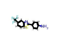 Nc1ccc(-c2nc3cc(C(F)(F)F)ccc3s2)cc1